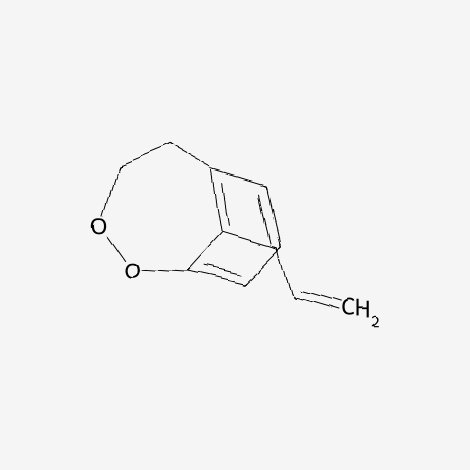 C=CCc1c2cccc1OOCC2